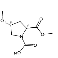 COC(=O)[C@@H]1C[C@@H](OC)CN1C(=O)O